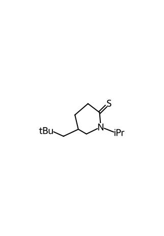 CC(C)N1CC(CC(C)(C)C)CCC1=S